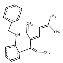 C=CC(=C\C=C(C)C)/C(=C\C)c1ccccc1NCc1ccccc1